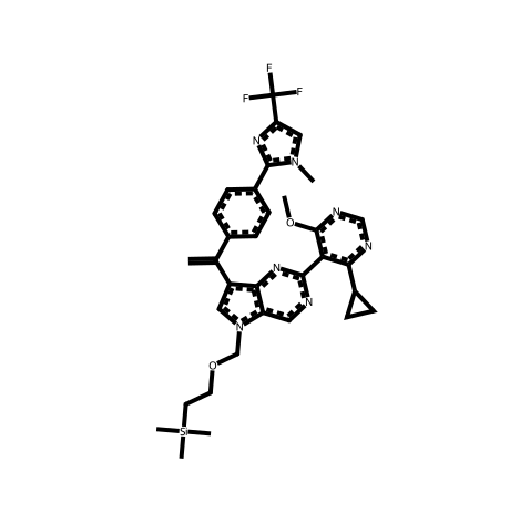 C=C(c1ccc(-c2nc(C(F)(F)F)cn2C)cc1)c1cn(COCC[Si](C)(C)C)c2cnc(-c3c(OC)ncnc3C3CC3)nc12